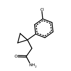 NC(=O)CC1(c2cccc(Cl)c2)CC1